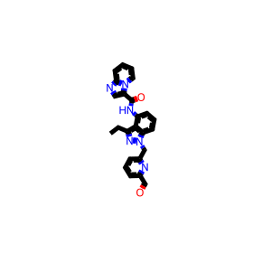 CCc1nn(Cc2cccc(C=O)n2)c2cccc(NC(=O)c3cnc4ccccn34)c12